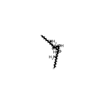 CCCCCCCCC(N)CCCNC(=O)c1cc(O)cc(C(=O)NCCCC(N)CCCCCCCC)c1